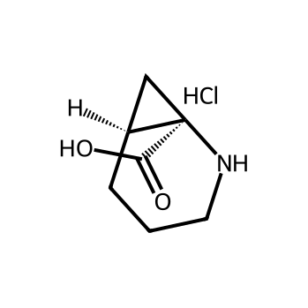 Cl.O=C(O)[C@@]12C[C@@H]1CCCN2